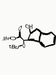 COC(=O)C(OC(C)(C)C)c1cc2ccccc2cc1O